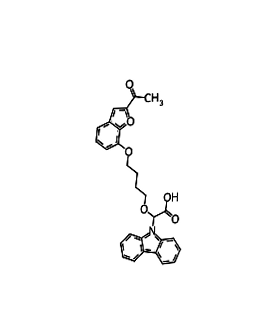 CC(=O)c1cc2cccc(OCCCCOC(C(=O)O)n3c4ccccc4c4ccccc43)c2o1